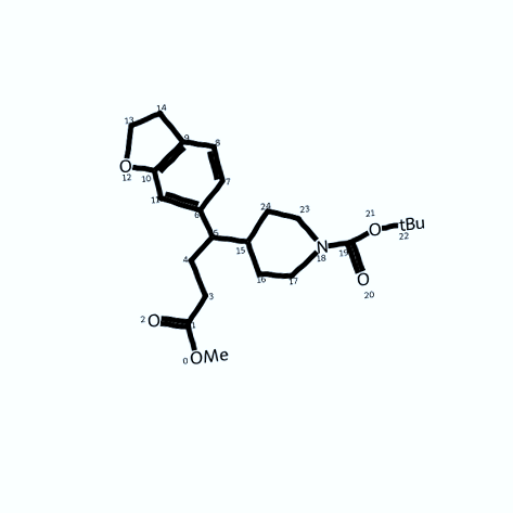 COC(=O)CCC(c1ccc2c(c1)OCC2)C1CCN(C(=O)OC(C)(C)C)CC1